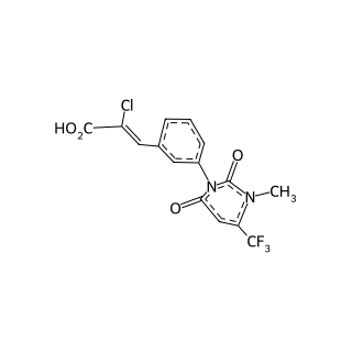 Cn1c(C(F)(F)F)cc(=O)n(-c2cccc(C=C(Cl)C(=O)O)c2)c1=O